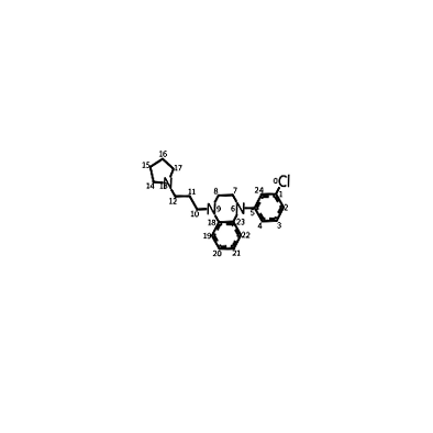 Clc1cccc(N2CCN(CCCN3CCCC3)c3ccccc32)c1